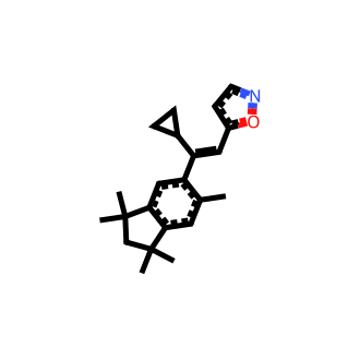 Cc1cc2c(cc1C(=Cc1ccno1)C1CC1)C(C)(C)CC2(C)C